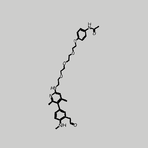 CNc1ccc(-c2c(C)cc(NCCOCCOCCOCCOc3ccc(NC(C)=O)cc3)nc2C)cc1CC=O